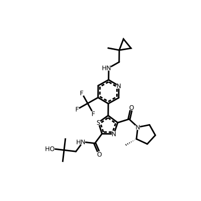 C[C@H]1CCCN1C(=O)c1nc(C(=O)NCC(C)(C)O)sc1-c1cnc(NCC2(C)CC2)cc1C(F)(F)F